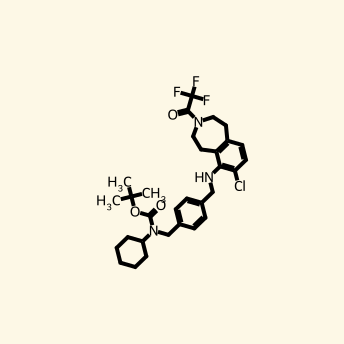 CC(C)(C)OC(=O)N(Cc1ccc(CNc2c(Cl)ccc3c2CCN(C(=O)C(F)(F)F)CC3)cc1)C1CCCCC1